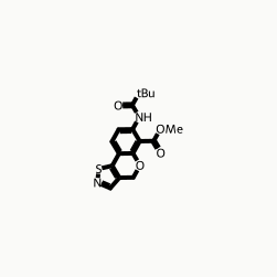 COC(=O)c1c(NC(=O)C(C)(C)C)ccc2c1OCc1cnsc1-2